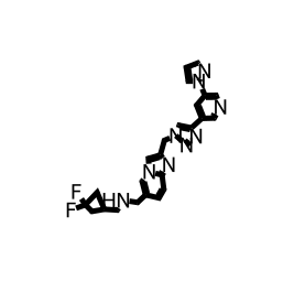 FC1(F)CC(CNCc2ccc3nc(Cn4cc(-c5cncc(-n6cccn6)c5)nn4)cn3c2)C1